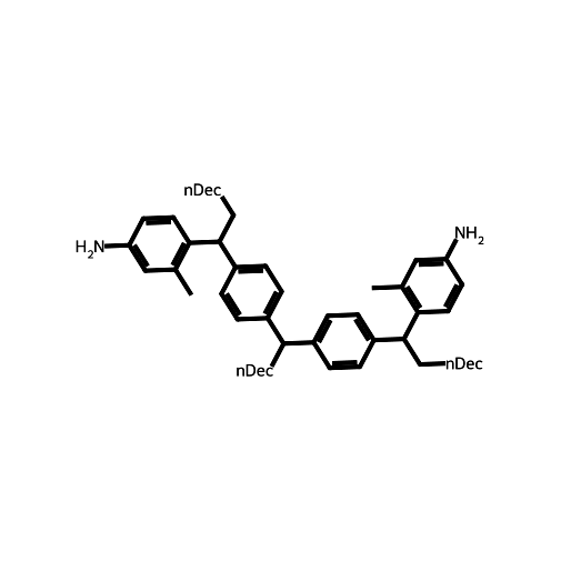 CCCCCCCCCCCC(c1ccc(C(CCCCCCCCCC)c2ccc(C(CCCCCCCCCCC)c3ccc(N)cc3C)cc2)cc1)c1ccc(N)cc1C